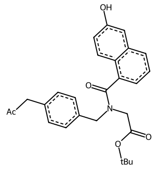 CC(=O)Cc1ccc(CN(CC(=O)OC(C)(C)C)C(=O)c2cccc3cc(O)ccc23)cc1